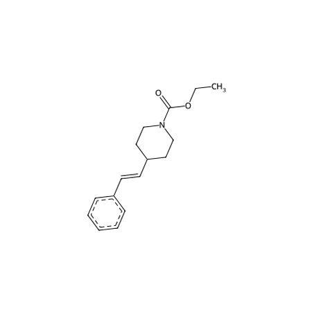 CCOC(=O)N1CCC(/C=C/c2ccccc2)CC1